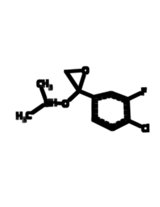 C[SiH](C)OC1(c2ccc(Cl)c(F)c2)CO1